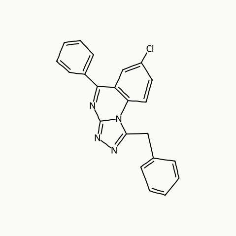 Clc1ccc2c(c1)c(-c1ccccc1)nc1nnc(Cc3ccccc3)n12